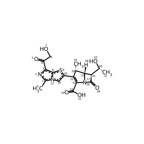 Cc1nc(C(=O)CO)c2sc(C3=C(C(=O)O)N4C(=O)[C@H]([C@@H](C)O)[C@H]4[C@H]3C)cn12